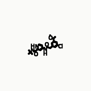 COC(C)c1cc(Cl)cc(CC(=O)Nc2ccnc(C(=O)NC(C)(C)C)c2)c1